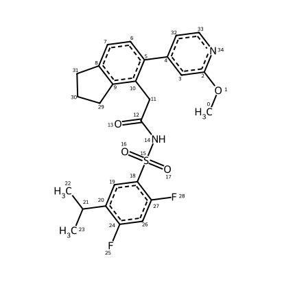 COc1cc(-c2ccc3c(c2CC(=O)NS(=O)(=O)c2cc(C(C)C)c(F)cc2F)CCC3)ccn1